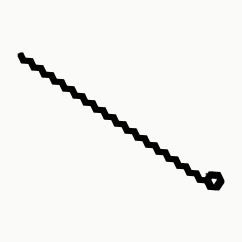 CCCCCCCCCCCCCCCCCCCCCCCCCCCCCCCCCCCCc1[c]cccc1